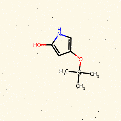 C[Si](C)(C)Oc1c[nH]c(O)c1